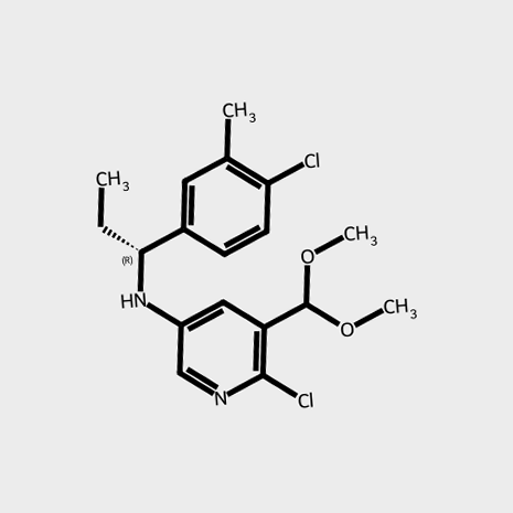 CC[C@@H](Nc1cnc(Cl)c(C(OC)OC)c1)c1ccc(Cl)c(C)c1